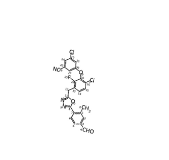 Cc1cc(C=O)ccc1-c1nnc(Cc2ccc(Cl)c(Oc3cc(Cl)cc(C#N)c3)c2F)o1